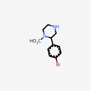 O=C(O)N1CCNCC1c1ccc(Br)cc1